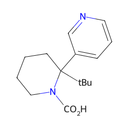 CC(C)(C)C1(c2cccnc2)CCCCN1C(=O)O